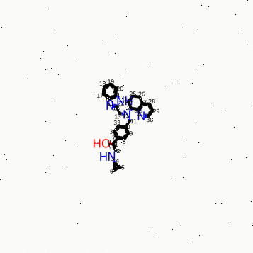 O[C@H](CNC1CC1)c1ccc(CN(Cc2nc3ccccc3[nH]2)C2CCCc3cccnc32)cc1